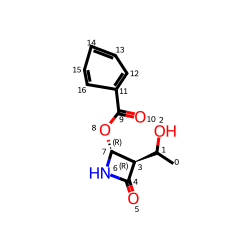 CC(O)[C@H]1C(=O)N[C@@H]1OC(=O)c1ccccc1